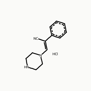 Cl.N#C/C(=C\N1CCNCC1)c1ccccc1